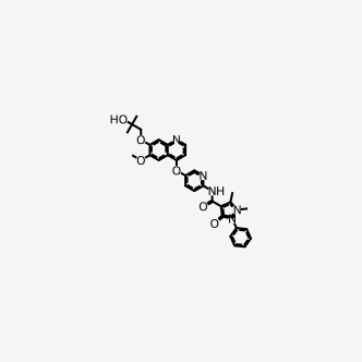 COc1cc2c(Oc3ccc(NC(=O)c4c(C)n(C)n(-c5ccccc5)c4=O)nc3)ccnc2cc1OCC(C)(C)O